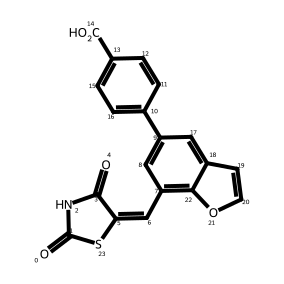 O=C1NC(=O)/C(=C\c2cc(-c3ccc(C(=O)O)cc3)cc3ccoc23)S1